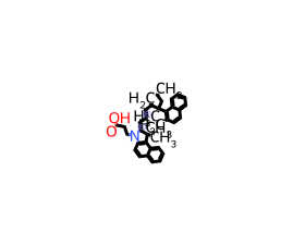 C=CCC(C)(C(=C)/C=C/C=C1/N(CCC(=O)O)c2ccc3ccccc3c2C1(C)C)c1c(C)ccc2ccccc12